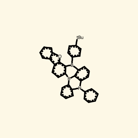 CC(C)(C)c1ccc(B2c3cccc4c3B(c3ccccc3N4c3ccccc3)c3ccc4c(oc5ccccc54)c32)cc1